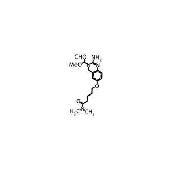 COC(C=O)N1Cc2cc(OCCCCC(=O)N(C)C)ccc2N=C1N